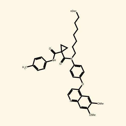 CCCCCCCCCCCCCCCCCN(C(=O)C1(C(=O)Nc2ccc(C)cc2)CC1)c1ccc(Oc2ccnc3cc(OC)c(OC)cc23)cc1